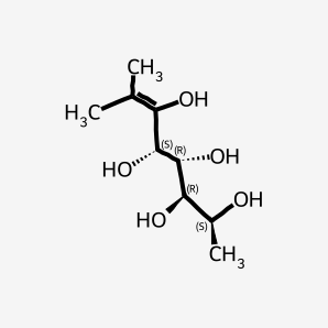 CC(C)=C(O)[C@@H](O)[C@H](O)[C@H](O)[C@H](C)O